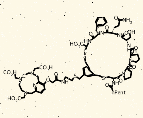 CCCCCC(=O)N[C@H]1CSCc2cc(CSCCNC(=O)COc3ccc4nc3CN(CC(=O)O)CCN(CC(=O)O)CCN(CC(=O)O)C4)cc(c2)CSCC(C(=O)O)NC(=O)[C@H](Cc2ccccc2)NC(=O)[C@H](CCC(N)=O)NC(=O)[C@H]([C@@H](C)O)NC(=O)[C@@H]2CCCN2C(=O)[C@@H]2CCCN2C1=O